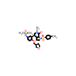 Cc1ccc(S(=O)(=O)n2ccc3c(-c4cc(N=S(C)(C)=O)ccc4OCC4CCOC4)cn(C)c(=O)c32)cc1